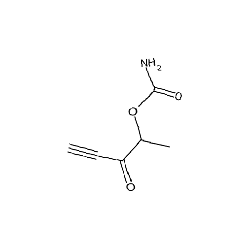 C#CC(=O)C(C)OC(N)=O